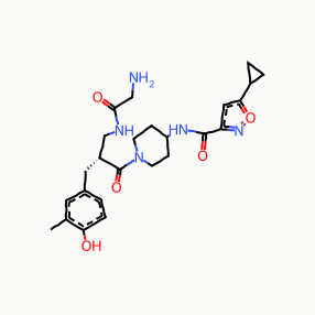 Cc1cc(C[C@H](CNC(=O)CN)C(=O)N2CCC(NC(=O)c3cc(C4CC4)on3)CC2)ccc1O